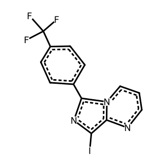 FC(F)(F)c1ccc(-c2nc(I)c3ncccn23)cc1